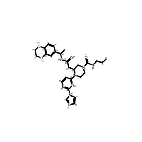 CCCNC(=O)N1CCN(c2ccnc(-n3ccnc3)n2)C(CC(=O)NC(C)c2ccc3c(c2)OCCO3)C1